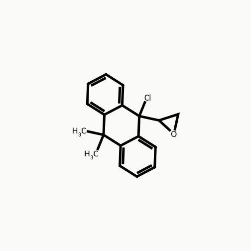 CC1(C)c2ccccc2C(Cl)(C2CO2)c2ccccc21